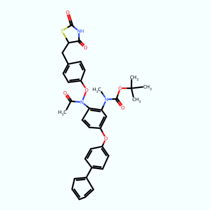 CC(=O)N(Oc1ccc(CC2SC(=O)NC2=O)cc1)c1ccc(Oc2ccc(-c3ccccc3)cc2)cc1N(C)C(=O)OC(C)(C)C